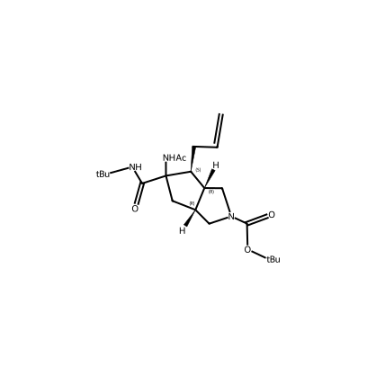 C=CC[C@H]1[C@@H]2CN(C(=O)OC(C)(C)C)C[C@@H]2CC1(NC(C)=O)C(=O)NC(C)(C)C